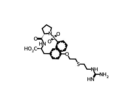 N=C(N)NCCSCCOc1ccc(C[C@H](NC(=O)[C@@H]2CCCN2S(=O)(=O)c2ccccc2)C(=O)O)cc1